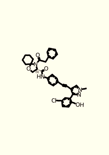 Cn1cc(C#Cc2ccc(NC(=O)[C@@H]3COC4(CCCCC4)N3C(=O)Cc3ccccc3)cc2)c(-c2cc(Cl)ccc2O)n1